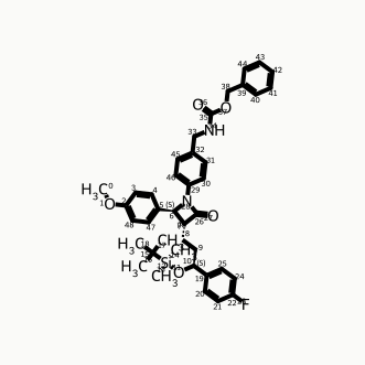 COc1ccc([C@@H]2[C@@H](CC[C@H](O[Si](C)(C)C(C)(C)C)c3ccc(F)cc3)C(=O)N2c2ccc(CNC(=O)OCc3ccccc3)cc2)cc1